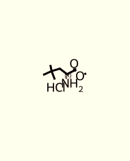 COC(=O)[C@H](N)CC(C)(C)C.Cl